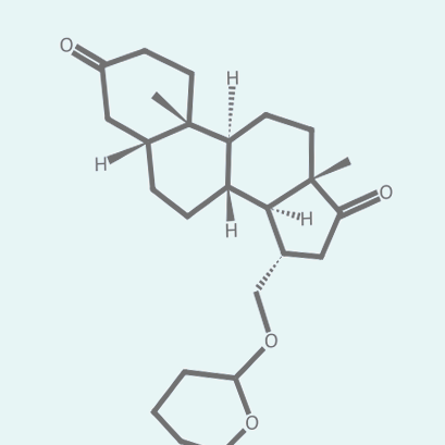 C[C@]12CCC(=O)C[C@H]1CC[C@H]1[C@@H]3[C@@H](COC4CCCCO4)CC(=O)[C@@]3(C)CC[C@@H]12